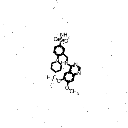 COc1cc2ncnc(NCc3cc(S(N)(=O)=O)ccc3N3CCCCC3)c2cc1OC